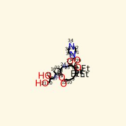 CC[Si](CC)(CC)O[C@]1(C)CCCCC(=O)O[C@H](/C(C)=C/C(O)CO)[C@@H](C)/C=C/[C@@H]1OC(=O)N1CCN(C)CC1